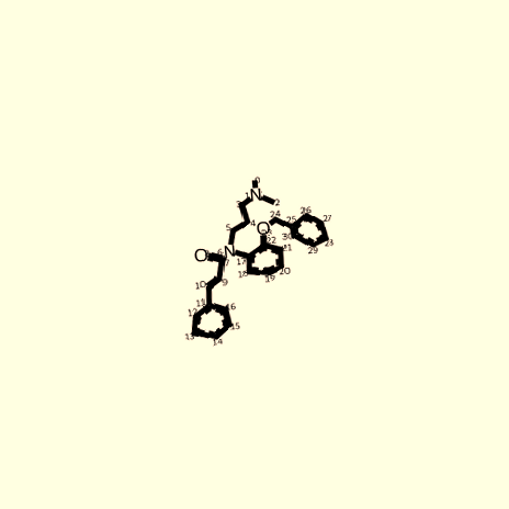 CN(C)CCCN(C(=O)C=Cc1ccccc1)c1ccccc1OCc1ccccc1